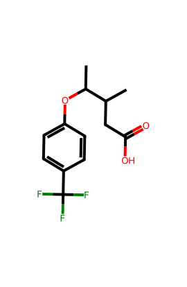 CC(CC(=O)O)C(C)Oc1ccc(C(F)(F)F)cc1